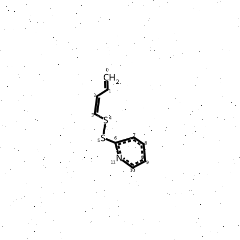 C=C/C=C\SSc1ccccn1